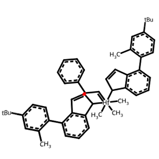 Cc1cc(C(C)(C)C)ccc1-c1cccc2c1C=C[CH]2[Hf]([CH3])([CH3])([CH3])(=[CH]Cc1ccccc1)[CH]1C=Cc2c(-c3ccc(C(C)(C)C)cc3C)cccc21